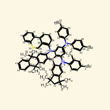 Cc1cc(C(C)(C)C)ccc1N1c2cc3c(cc2B2c4cc5c(cc4N(c4cccc6c4CSc4ccccc4-6)c4cc(N(c6ccc(C(C)(C)C)cc6)c6ccc(C(C)(C)C)cc6)cc1c42)C(C)(C)c1ccccc1C5(C)C)C(C)(C)CC3(C)C